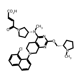 CN1CCC[C@H]1COc1nc2c(c(N(C)[C@@H]3CCN(C(=O)/C=C/C(=O)O)C3)n1)CCN(c1cccc3cccc(Cl)c13)C2